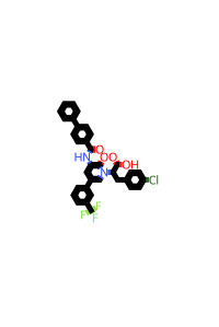 O=C(Nc1cc(-c2cccc(C(F)(F)F)c2)cn(C(Cc2ccc(Cl)cc2)C(=O)O)c1=O)c1ccc(-c2ccccc2)cc1